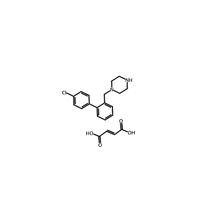 Clc1ccc(-c2ccccc2CN2CCNCC2)cc1.O=C(O)/C=C/C(=O)O